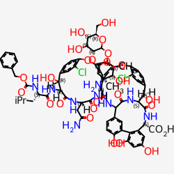 CC(C)C[C@H](NC(=O)OCc1ccccc1)C(=O)N[C@H]1C(=O)N[C@@H](CC(N)=O)C(=O)N[C@H]2C(=O)NC3C(=O)N[C@H](C(=O)N[C@H](C(=O)O)c4cc(O)cc(O)c4-c4cc3ccc4O)[C@H](O)c3ccc(c(Cl)c3)Oc3cc2cc(c3OC2O[C@H](CO)[C@@H](O)[C@H](O)[C@H]2O[C@H]2C[C@](C)(N)[C@H](O)[C@H](C)O2)Oc2ccc(cc2Cl)[C@H]1O